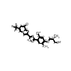 Cc1cc(-c2noc(-c3cn4cc(C(F)(F)F)cc(Cl)c4n3)n2)c(Cl)cc1OC[C@H](C)CO